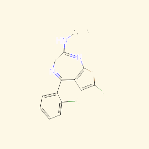 CC(=O)NNC1=Nc2sc(Cl)cc2C(c2ccccc2Cl)=NC1